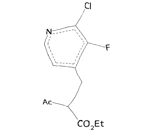 CCOC(=O)C(Cc1ccnc(Cl)c1F)C(C)=O